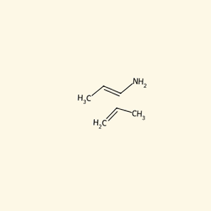 C=CC.CC=CN